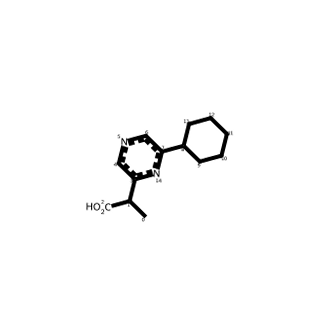 CC(C(=O)O)c1cncc(C2CCCCC2)n1